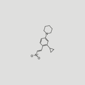 O=[N+]([O-])/C=C/c1ccc(N2CCCCC2)cc1C1CC1